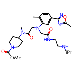 COC(=O)N1CCC(N(C)C(=O)CN(CC(=O)NCCNC(C)C)c2cc(-c3noc(C)n3)ccc2C)CC1